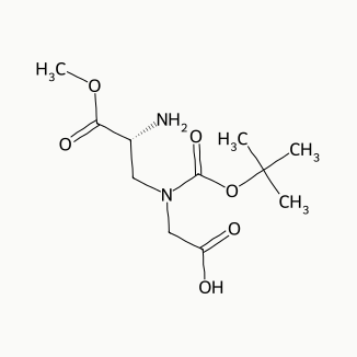 COC(=O)[C@H](N)CN(CC(=O)O)C(=O)OC(C)(C)C